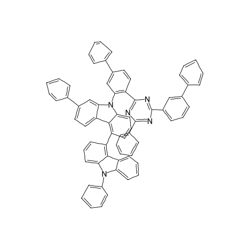 c1ccc(-c2cccc(-c3nc(-c4ccccc4)nc(-c4ccc(-c5ccccc5)cc4-n4c5cc(-c6ccccc6)ccc5c5c(-c6cccc7c6c6ccccc6n7-c6ccccc6)cccc54)n3)c2)cc1